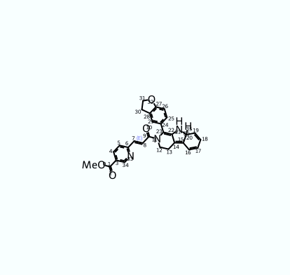 COC(=O)c1ccc(/C=C/C(=O)N2CCC3=C4C=CC=C[C@H]4NC3=C2c2ccc3c(c2)CCO3)nc1